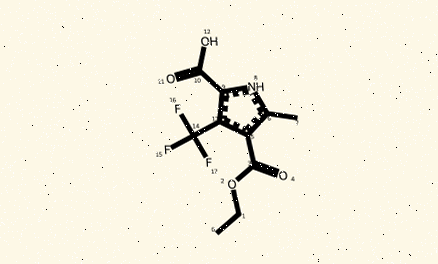 CCOC(=O)c1c(C)[nH]c(C(=O)O)c1C(F)(F)F